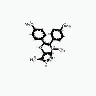 COc1ccc(C2=C(c3ccc(OC)cc3)N(C)c3[nH]nc(C)c3O2)cc1